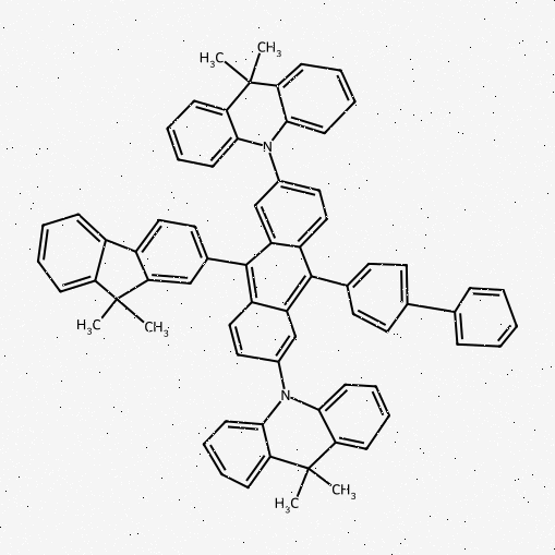 CC1(C)c2ccccc2-c2ccc(-c3c4ccc(N5c6ccccc6C(C)(C)c6ccccc65)cc4c(-c4ccc(-c5ccccc5)cc4)c4ccc(N5c6ccccc6C(C)(C)c6ccccc65)cc34)cc21